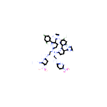 Nc1nc(NCCN(c2ccc(-c3ncc[nH]3)c(-c3ccc(Cl)cc3Cl)n2)N(CCNc2ccc([N+](=O)[O-])cn2)c2ccc(-c3ncc[nH]3)c(-c3ccc(Cl)cc3Cl)n2)ccc1[N+](=O)[O-]